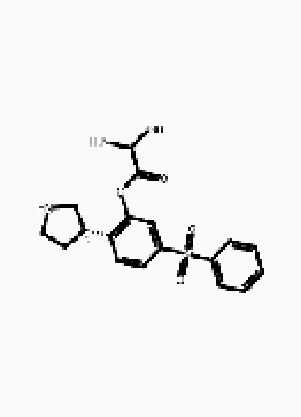 CCC(C)C(N)C(=O)Oc1cc(S(=O)(=O)c2ccccc2)ccc1[C@@H]1CCNC1